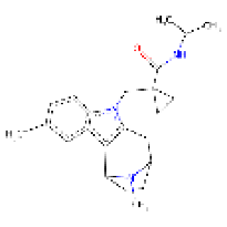 Cc1ccc2c(c1)c1c(n2CC2(C(=O)NC(C)C)CC2)CC2CCC1N2C